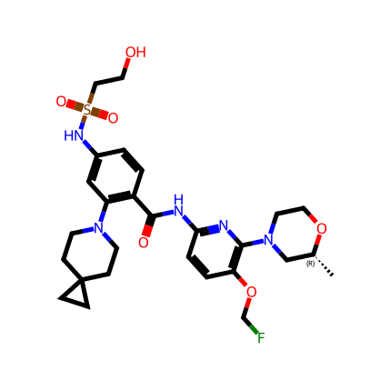 C[C@@H]1CN(c2nc(NC(=O)c3ccc(NS(=O)(=O)CCO)cc3N3CCC4(CC3)CC4)ccc2OCF)CCO1